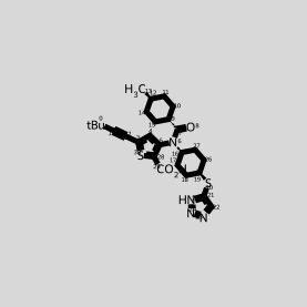 CC(C)(C)C#Cc1cc(N(C(=O)[C@H]2CC[C@H](C)CC2)[C@H]2CC[C@H](Sc3cnn[nH]3)CC2)c(C(=O)O)s1